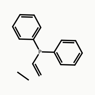 C=CP(c1ccccc1)c1ccccc1.CC